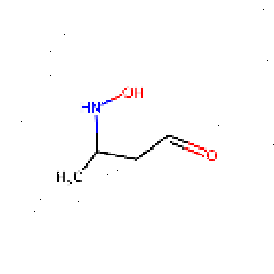 CC(CC=O)NO